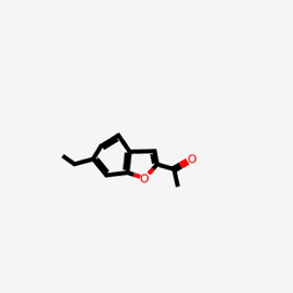 CCc1ccc2cc(C(C)=O)oc2c1